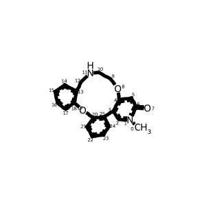 Cn1cc2c(cc1=O)OCCNCc1ccccc1Oc1ccccc1-2